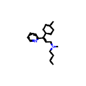 CCCCN(C)C/C=C(/c1ccccn1)C1CCC(C)CC1